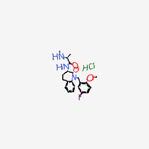 CN[C@@H](C)C(=O)N[C@H]1CCc2ccccc2N(Cc2cc(I)ccc2OC)C1=O.Cl